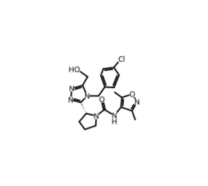 Cc1noc(C)c1NC(=O)N1CCC[C@@H]1c1nnc(CO)n1Cc1ccc(Cl)cc1